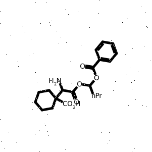 CCCC(OC(=O)c1ccccc1)OC(=O)C(N)C1(C(=O)O)CCCCC1